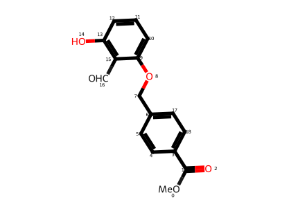 COC(=O)c1ccc(COc2cccc(O)c2C=O)cc1